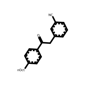 CCCCCCCCc1ccc(C(=O)Cc2cccc(C#N)c2)cc1